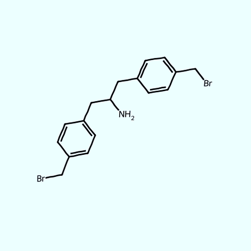 NC(Cc1ccc(CBr)cc1)Cc1ccc(CBr)cc1